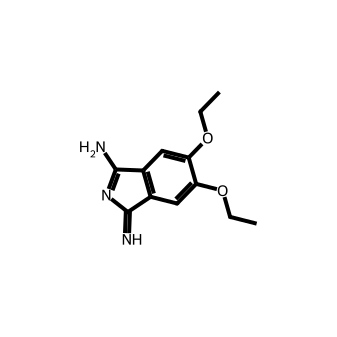 CCOc1cc2c(cc1OCC)C(N)=NC2=N